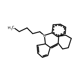 CCCCCN(c1ccccc1)C1C=CC=CC1=C1CCCCC1